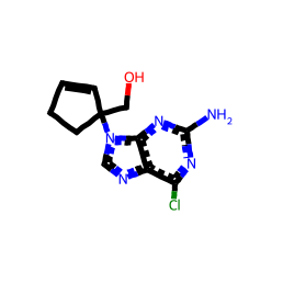 Nc1nc(Cl)c2ncn(C3(CO)C=CCC3)c2n1